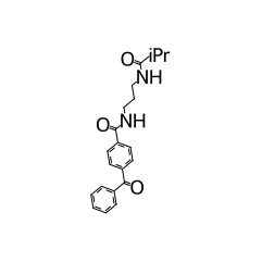 CC(C)C(=O)NCCCNC(=O)c1ccc(C(=O)c2ccccc2)cc1